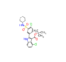 CC(C)(C)OC(=O)c1c(-c2ccc(Cl)c(S(=O)(=O)NC3CCCCC3)c2)[nH]c2cccc(Cl)c12